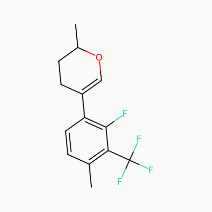 Cc1ccc(C2=COC(C)CC2)c(F)c1C(F)(F)F